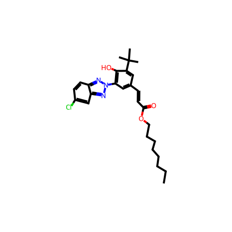 CCCCCCCCOC(=O)C=Cc1cc(-n2nc3ccc(Cl)cc3n2)c(O)c(C(C)(C)C)c1